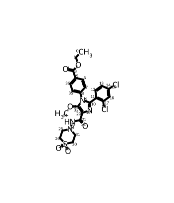 CCOC(=O)c1ccc(-n2c(-c3ccc(Cl)cc3Cl)nc(C(=O)NN3CCS(=O)(=O)CC3)c2OC)cc1